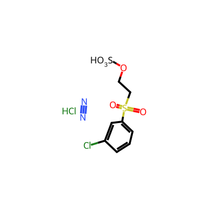 Cl.N#N.O=S(=O)(O)OCCS(=O)(=O)c1cccc(Cl)c1